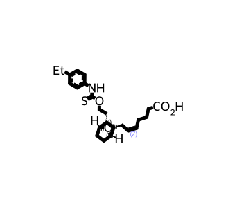 CCc1ccc(NC(=S)OCC[C@@H]2[C@@H](C/C=C\CCCC(=O)O)[C@H]3CC[C@@H]2O3)cc1